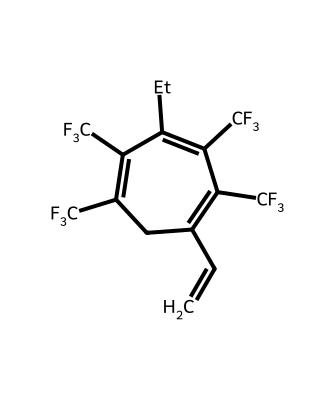 C=CC1=C(C(F)(F)F)C(C(F)(F)F)=C(CC)C(C(F)(F)F)=C(C(F)(F)F)C1